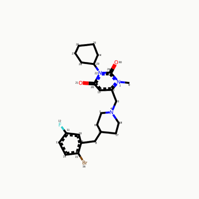 Cn1c(CN2CCC(Cc3cc(F)ccc3Br)CC2)cc(=O)n(C2CCCCC2)c1=O